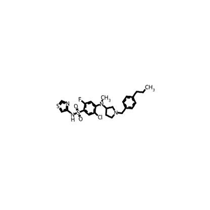 CCCc1ccc(CN2CCC(N(C)c3cc(F)c(S(=O)(=O)Nc4cscn4)cc3Cl)C2)cc1